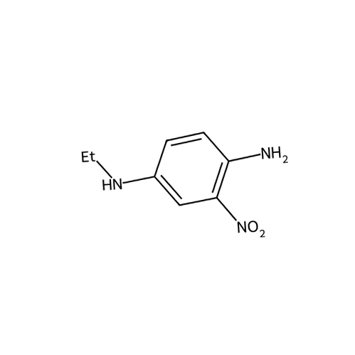 CCNc1ccc(N)c([N+](=O)[O-])c1